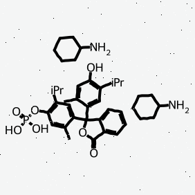 Cc1cc(O)c(C(C)C)cc1C1(c2cc(C(C)C)c(OP(=O)(O)O)cc2C)OC(=O)c2ccccc21.NC1CCCCC1.NC1CCCCC1